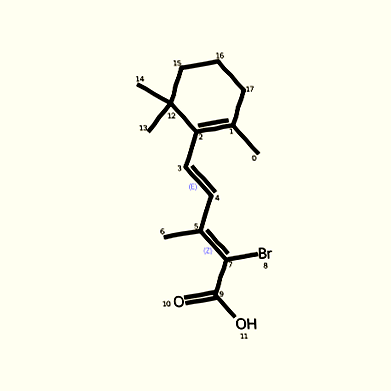 CC1=C(/C=C/C(C)=C(\Br)C(=O)O)C(C)(C)CCC1